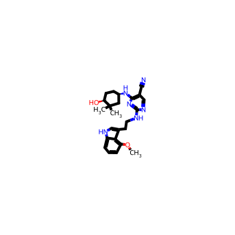 COc1cccc2[nH]cc(CCNc3ncc(C#N)c(N[C@@H]4CC[C@H](O)C(C)(C)C4)n3)c12